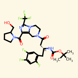 CC(C)(C)OC(=O)N[C@@H](CC(=O)N1CCn2c(C(F)(F)F)nc(C(=O)N3CCCC3CO)c2C1)Cc1cc(F)c(F)cc1F